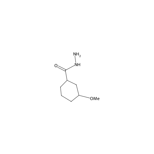 COC1CCCC(C(=O)NN)C1